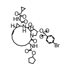 O=C(N[C@H]1CCCCC/C=C\[C@@H]2C[C@@]2(C(=O)NS(=O)(=O)C2CC2)NC(=O)[C@@H]2C[C@H](OS(=O)(=O)c3ccc(Br)cc3)CN2C1=O)OC1CCCC1